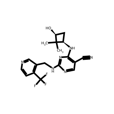 CC1(C)[C@@H](O)C[C@H]1Nc1nc(NCc2cnccc2C(F)(F)F)ncc1C#N